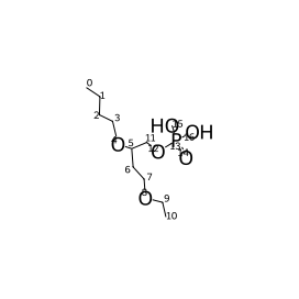 CCCCOC(CCOCC)COP(=O)(O)O